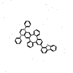 c1ccc(-n2ccn(-c3ccccc3)c3cc4c5ccccc5c5cc(-c6cccc7c6sc6ccccc67)ccc5c5ccccc5c4cc32)cc1